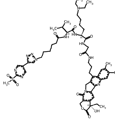 CCN(CC)CCCC[C@H](NC(=O)[C@@H](NC(=O)CCCCCn1cc(-c2cnc(S(C)(=O)=O)nc2)nn1)C(C)C)C(=O)NCC(=O)NCCCc1c2c(nc3cc(F)c(C)cc13)-c1cc3c(c(=O)n1C2)COC(=O)[C@]3(O)CC